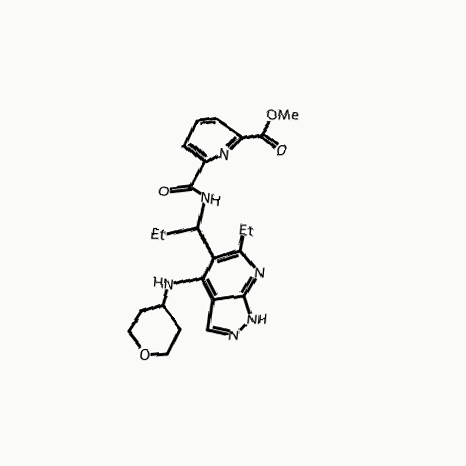 CCc1nc2[nH]ncc2c(NC2CCOCC2)c1C(CC)NC(=O)c1cccc(C(=O)OC)n1